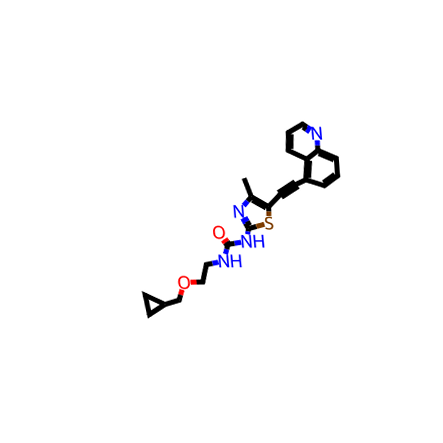 Cc1nc(NC(=O)NCCOCC2CC2)sc1C#Cc1cccc2ncccc12